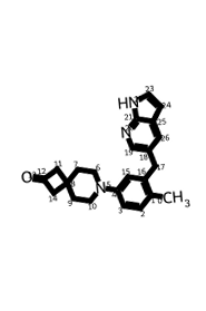 Cc1ccc(N2CCC3(CC2)CC(=O)C3)cc1Cc1cnc2[nH]ccc2c1